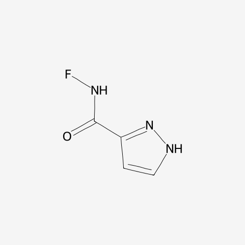 O=C(NF)c1cc[nH]n1